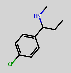 CCC(NC)c1ccc(Cl)cc1